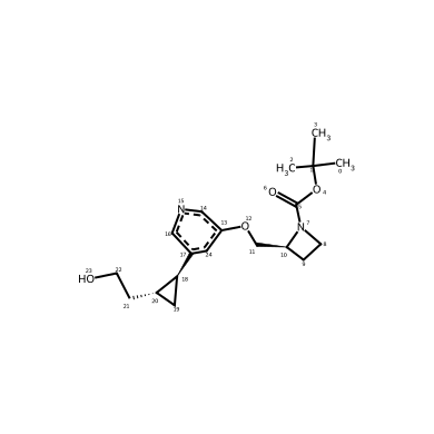 CC(C)(C)OC(=O)N1CC[C@H]1COc1cncc([C@H]2C[C@@H]2CCO)c1